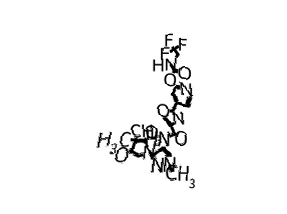 Cn1cc(NC(=O)c2coc(-c3ccnc(OC(=O)NCC(F)(F)F)c3)n2)c(N2CC(=O)C(C)(C)C2=O)n1